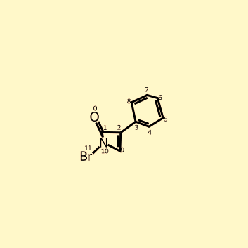 O=C1C(c2ccccc2)=CN1Br